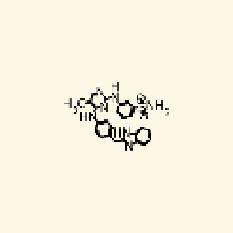 Cc1cnc(Nc2cccc(S(N)(=O)=O)c2)nc1Nc1ccc(Cc2nc3ccccc3[nH]2)cc1